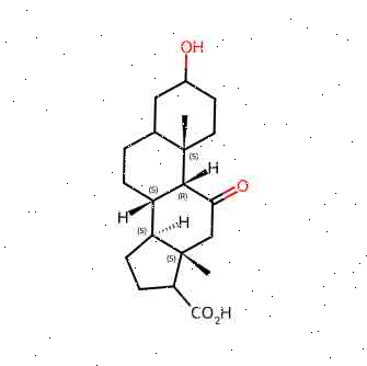 C[C@]12CCC(O)CC1CC[C@@H]1[C@H]2C(=O)C[C@]2(C)C(C(=O)O)CC[C@@H]12